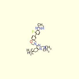 Cc1nc2c(F)c(-c3ccc4c(c3)CN(c3nc(CN(C)C)nc5c3CC(C)(C)CC5)CCO4)ccc2[nH]1